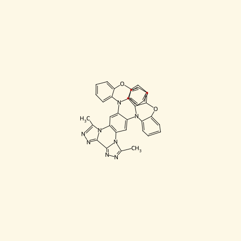 Cc1nnc2c3nnc(C)n3c3cc(N4c5ccccc5Oc5ccccc54)c(N4c5ccccc5Oc5ccccc54)cc3n12